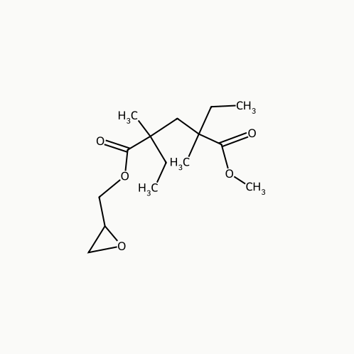 CCC(C)(CC(C)(CC)C(=O)OCC1CO1)C(=O)OC